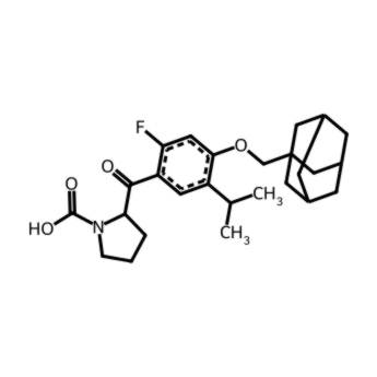 CC(C)c1cc(C(=O)C2CCCN2C(=O)O)c(F)cc1OCC12CC3CC(CC(C3)C1)C2